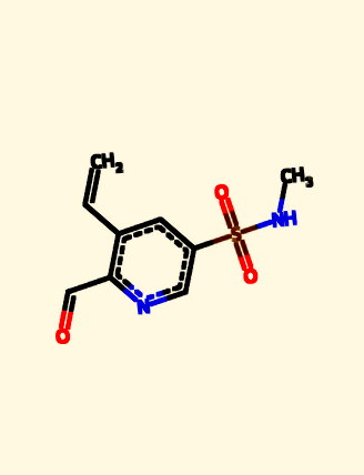 C=Cc1cc(S(=O)(=O)NC)cnc1C=O